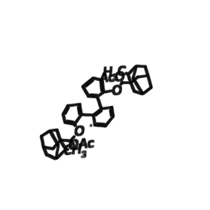 CC(=O)OC(Oc1ccccc1-c1[c]cccc1-c1ccccc1OC(OC(C)=O)C12CC3CC(CC(C3)C1C)C2)C12CC3CC(CC(C3)C1C)C2